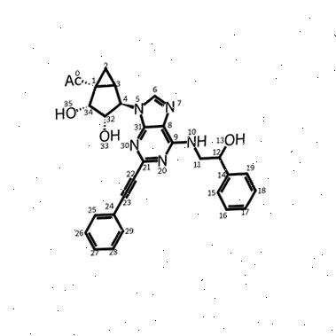 CC(=O)[C@]12CC1[C@@H](n1cnc3c(NCC(O)c4ccccc4)nc(C#Cc4ccccc4)nc31)[C@H](O)[C@@H]2O